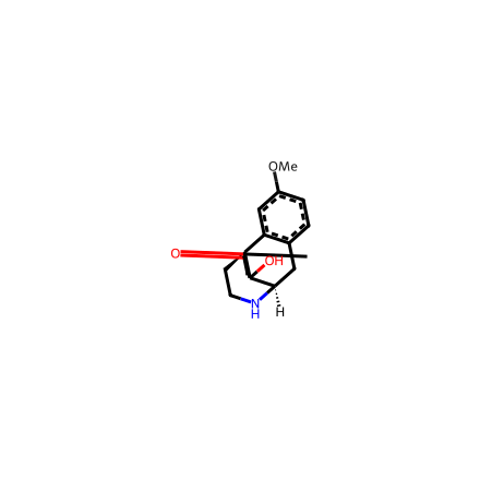 COc1ccc2c(c1)[C@]13CCN[C@H](C2)C1(O)CCC(=O)C3